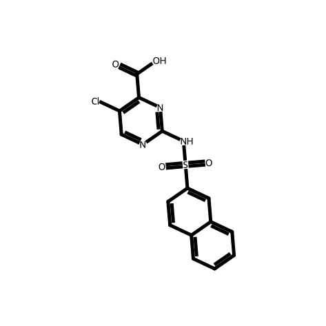 O=C(O)c1nc(NS(=O)(=O)c2ccc3ccccc3c2)ncc1Cl